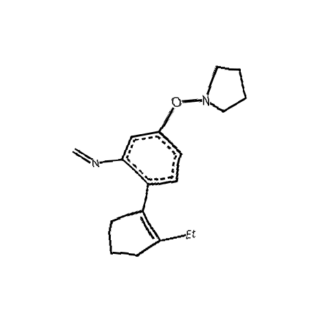 C=Nc1cc(ON2CCCC2)ccc1C1=C(CC)CCC1